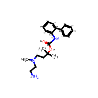 CN(CCN)CCC(C)(C)OC(=O)Nc1ccccc1-c1ccccc1